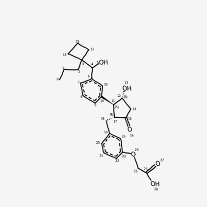 CCCC1(C(O)c2cccc([C@H]3[C@H](O)CC(=O)[C@@H]3Cc3cccc(OCC(=O)O)c3)c2)CCC1